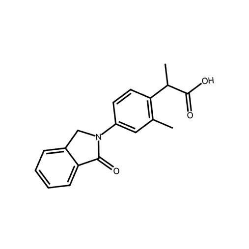 Cc1cc(N2Cc3ccccc3C2=O)ccc1C(C)C(=O)O